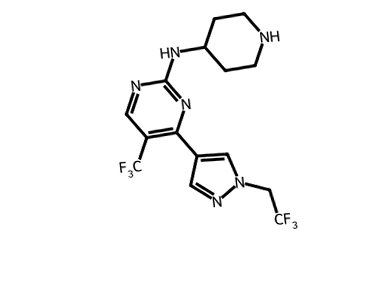 FC(F)(F)Cn1cc(-c2nc(NC3CCNCC3)ncc2C(F)(F)F)cn1